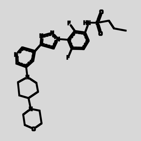 CCCS(=O)(=O)Nc1ccc(F)c(-n2cc(-c3cncc(N4CCC(N5CCOCC5)CC4)c3)nn2)c1F